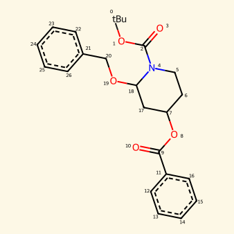 CC(C)(C)OC(=O)N1CCC(OC(=O)c2ccccc2)CC1OCc1ccccc1